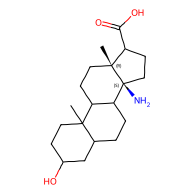 CC12CCC(O)CC1CCC1C2CC[C@]2(C)C(C(=O)O)CC[C@]12N